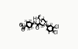 CCN1CCN(c2ccc(Cl)c(Cl)c2)CC1C(=O)Nc1ccc([N+](=O)[O-])cc1